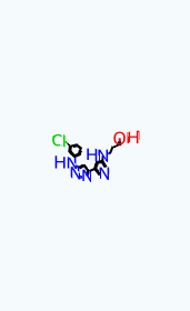 OCCCNc1cncc(-c2cc(Nc3cccc(Cl)c3)ncn2)c1